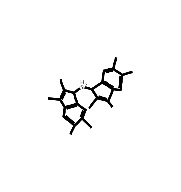 CC1=C(C)c2cc(C)c(C)cc2[C]1[SiH2][C]1C(C)=C(C)c2cc(C)c(C)cc21